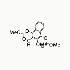 COC(=O)Oc1c(C)c(OC)c(OC(=O)OC)c2ccccc12